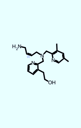 Cc1cnc(CN(C/C=C\CN)Cc2ncccc2CCO)c(C)c1